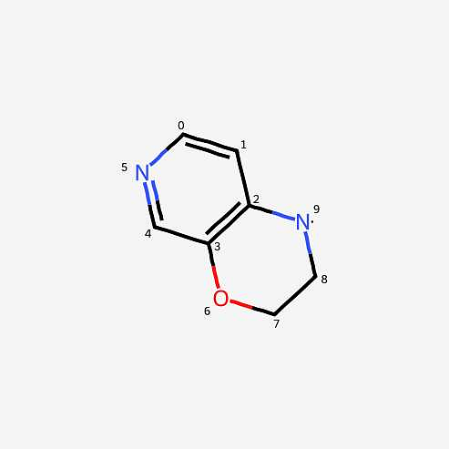 c1cc2c(cn1)OCC[N]2